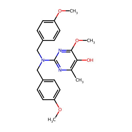 COc1ccc(CN(Cc2ccc(OC)cc2)c2nc(C)c(O)c(OC)n2)cc1